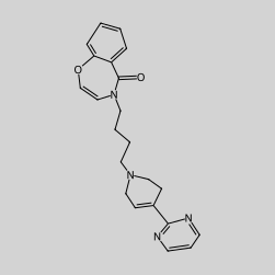 O=C1c2ccccc2OC=CN1CCCCN1CC=C(c2ncccn2)CC1